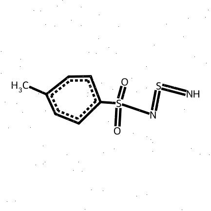 Cc1ccc(S(=O)(=O)N=S=N)cc1